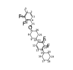 Cc1ccc(COC2CCC(c3ccc(C4CCCCC4)c(F)c3F)CC2)c(F)c1F